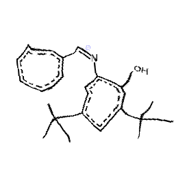 CC(C)(C)c1cc(/N=C\c2ccccc2)c(O)c(C(C)(C)C)c1